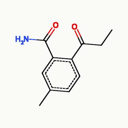 CCC(=O)c1ccc(C)cc1C(N)=O